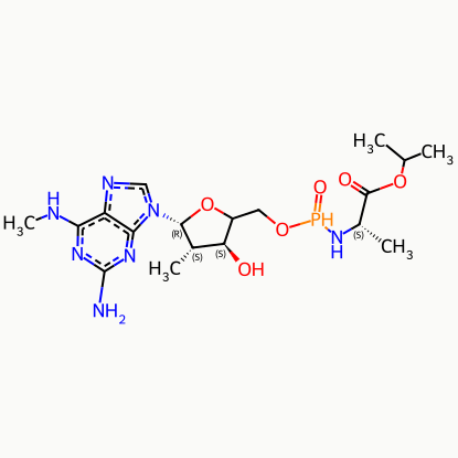 CNc1nc(N)nc2c1ncn2[C@@H]1OC(CO[PH](=O)N[C@@H](C)C(=O)OC(C)C)[C@@H](O)[C@@H]1C